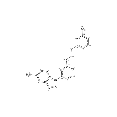 Nc1ccc2c(c1)ncn2-c1ccnc(NCCc2cccc(C(F)(F)F)c2)n1